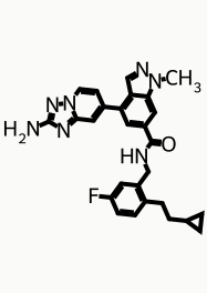 Cn1ncc2c(-c3ccn4nc(N)nc4c3)cc(C(=O)NCc3cc(F)ccc3CCC3CC3)cc21